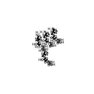 Nc1ncnc2c1ncn2[C@@H]1O[C@H](COP(=O)(O)O)[C@@H](O)[C@H]1O.Nc1ncnc2c1ncn2[C@@H]1O[C@H](COP(=O)(O)O)[C@@H](O)[C@H]1O.Nc1ncnc2c1ncn2[C@@H]1O[C@H](COP(=O)(O)O)[C@@H](O)[C@H]1O.Nc1ncnc2c1ncn2[C@@H]1O[C@H](COP(=O)(O)O)[C@@H](O)[C@H]1O